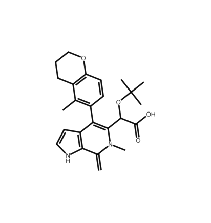 C=C1c2[nH]ccc2C(c2ccc3c(c2C)CCCO3)=C(C(OC(C)(C)C)C(=O)O)N1C